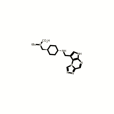 CC(C)(C)N(C[C@H]1CC[C@H](NCc2c[nH]c3ncc4nncn4c23)CC1)C(=O)O